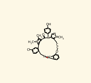 Cc1c2cc(n1C)-c1cc(Cl)ccc1CN1CCc3c(cccc3OCCCc3c(cnn3C)N(c3ccc(O)cc3)C2=O)C1